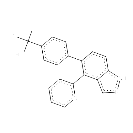 CC(C)(N)c1ccc(-c2ccc3[nH]ncc3c2-c2ccccn2)cc1